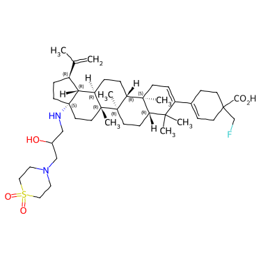 C=C(C)[C@@H]1CC[C@]2(NCC(O)CN3CCS(=O)(=O)CC3)CC[C@]3(C)[C@H](CC[C@@H]4[C@@]5(C)CC=C(C6=CCC(CF)(C(=O)O)CC6)C(C)(C)[C@@H]5CC[C@]43C)[C@@H]12